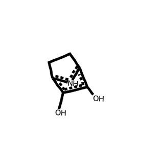 Oc1c2[nH]c(c1O)CC2